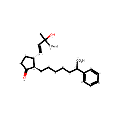 CCCCCC(C)(O)/C=C/[C@H]1CCC(=O)[C@@H]1CCCCCC(C(=O)O)c1ccccc1